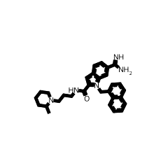 CC1CCCCN1CCCNC(=O)c1cc2ccc(C(=N)N)cc2n1Cc1cccc2ccccc12